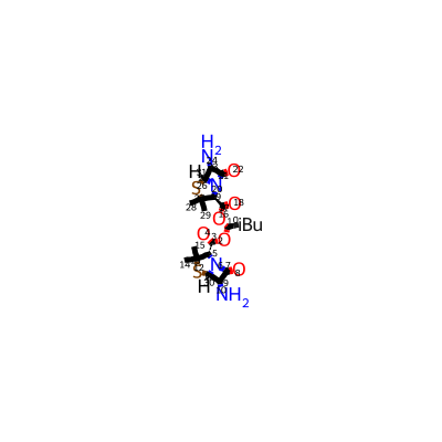 CCC(C)C(OC(=O)[C@@H]1N2C(=O)C(N)[C@H]2SC1(C)C)OC(=O)[C@@H]1N2C(=O)C(N)[C@H]2SC1(C)C